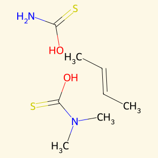 CC=CC.CN(C)C(O)=S.NC(O)=S